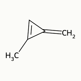 C=C1C=C1C